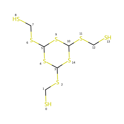 SCS[C]1SC(SCS)SC(SCS)S1